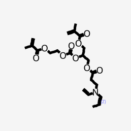 C=CN(/C=C\C)CCC(=O)OCC(COC(=O)C(=C)C)OC(=O)OCCOC(=O)C(=C)C